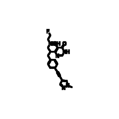 Cn1cc(C#Cc2ccc(CC(CNCCF)c3nc[nH]c(=O)c3O)cc2)cn1